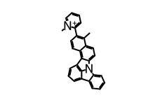 Cc1c(-c2cccc[n+]2C)ccc2c1ccc1c2c2cccc3c4ccccc4n1c32